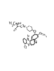 CNC(=O)C1CN([C@H]2CC[C@H](Oc3cc4c(Nc5cccc(Cl)c5F)ncnc4cc3OC)CC2)C1